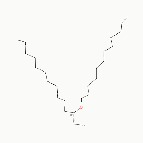 [CH2]C[C@H](CCCCCCCCCCC)OCCCCCCCCCCCC